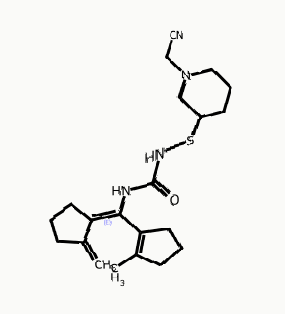 C=C1CCC/C1=C(\NC(=O)NSC1CCCN(CC#N)C1)C1=C(C)CCC1